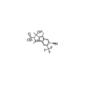 CCC([SH](=O)=O)C(C)(O)c1[nH]c2cc(C(F)(F)F)c(C#N)cc2c1C